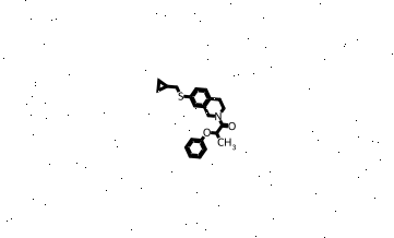 CC(Oc1ccccc1)C(=O)N1CCc2ccc(SCC3CC3)cc2C1